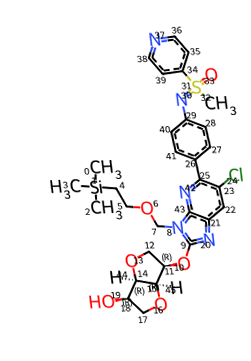 C[Si](C)(C)CCOCn1c(O[C@@H]2CO[C@H]3[C@@H]2OC[C@H]3O)nc2cc(Cl)c(-c3ccc(N=S(C)(=O)c4ccncc4)cc3)nc21